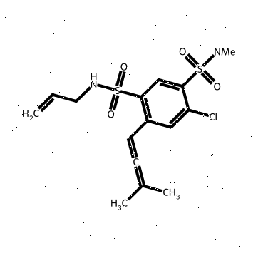 C=CCNS(=O)(=O)c1cc(S(=O)(=O)NC)c(Cl)cc1C=C=C(C)C